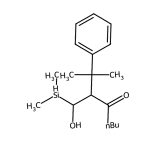 CCCCC(=O)C(C(O)[SiH](C)C)C(C)(C)c1ccccc1